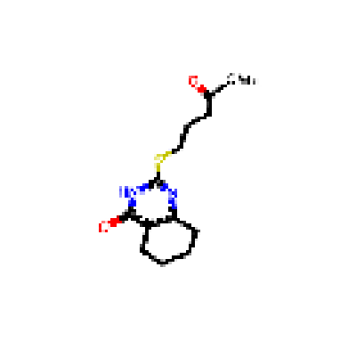 COC(=O)CCCSc1nc2c(c(=O)[nH]1)CCCC2